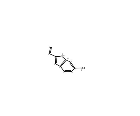 C=Cc1cc2ccc(O)cc2[nH]1